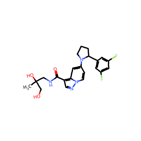 CC(O)(CO)CNC(=O)c1cnn2ccc(N3CCCC3c3cc(F)cc(F)c3)cc12